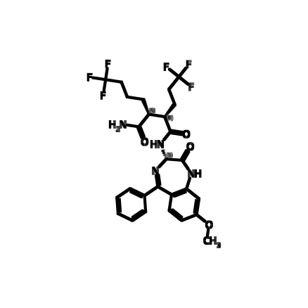 COc1ccc2c(c1)NC(=O)[C@@H](NC(=O)[C@H](CCC(F)(F)F)[C@H](CCCC(F)(F)F)C(N)=O)N=C2c1ccccc1